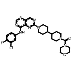 O=C(N1CCOCC1)N1CCC(C2CCN(c3ncc4ncnc(Nc5ccc(F)c(Cl)c5)c4n3)CC2)CC1